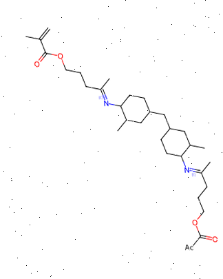 C=C(C)C(=O)OCCC/C(C)=N/C1CCC(CC2CCC(/N=C(\C)CCCOC(=O)C(C)=O)C(C)C2)CC1C